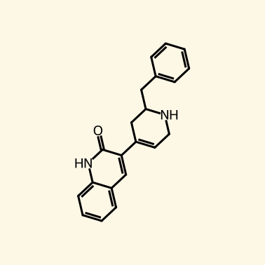 O=c1[nH]c2ccccc2cc1C1=CCNC(Cc2ccccc2)C1